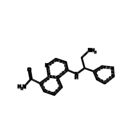 NCC(Nc1ccnc2c(C(N)=O)cccc12)c1ccccc1